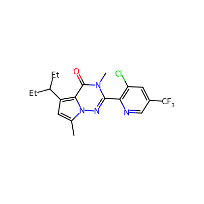 CCC(CC)c1cc(C)n2nc(-c3ncc(C(F)(F)F)cc3Cl)n(C)c(=O)c12